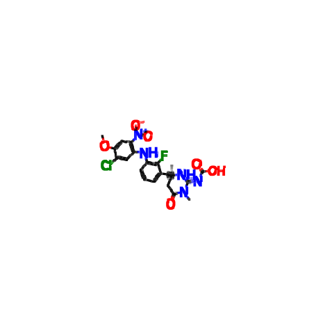 COc1cc([N+](=O)[O-])c(Nc2cccc([C@]3(C)CC(=O)N(C)/C(=N/C(=O)O)N3)c2F)cc1Cl